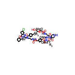 CCC(CO)OC(COC(=O)NCCC(=O)NC1(C(=O)OC(C)CNC(=O)Oc2c(OC)cc(COC(=O)NCCCN(C(=O)c3ccc(C)cc3)[C@@H](c3nc4cc(Cl)ccc4c(=O)n3Cc3ccccc3)C(C)C)cc2OC)CCNCC1)OC